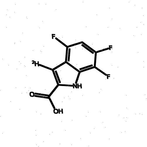 [2H]c1c(C(=O)O)[nH]c2c(F)c(F)cc(F)c12